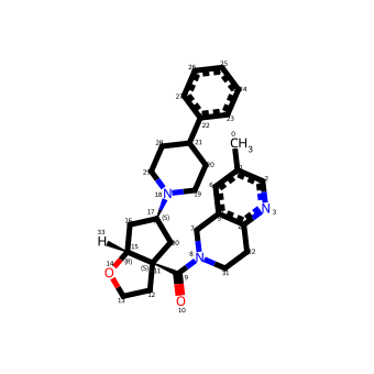 Cc1cnc2c(c1)CN(C(=O)[C@@]13CCO[C@@H]1C[C@@H](N1CCC(c4ccccc4)CC1)C3)CC2